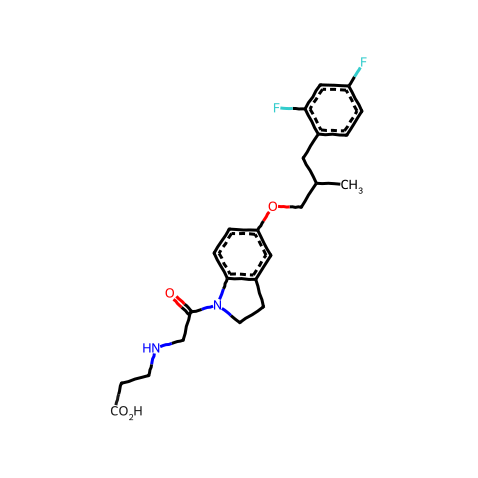 CC(COc1ccc2c(c1)CCN2C(=O)CNCCC(=O)O)Cc1ccc(F)cc1F